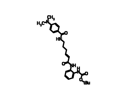 CN(C)c1ccc(C(=O)NCCCC=CC(=O)Nc2ccccc2NC(=O)OC(C)(C)C)cc1